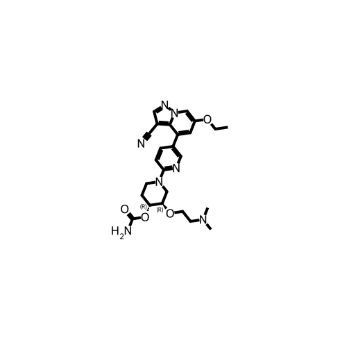 CCOc1cc(-c2ccc(N3CC[C@@H](OC(N)=O)[C@H](OCCN(C)C)C3)nc2)c2c(C#N)cnn2c1